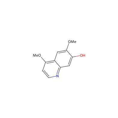 COc1cc2c(OC)ccnc2cc1O